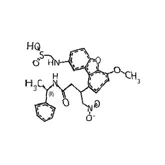 COc1ccc(C(CC(=O)N[C@H](C)c2ccccc2)C[N+](=O)[O-])c2c1oc1ccc(NCS(=O)O)cc12